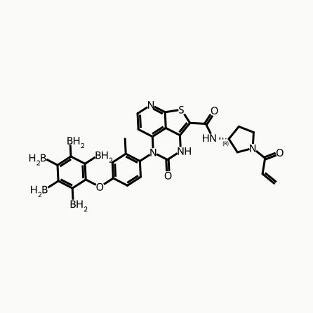 Bc1c(B)c(B)c(Oc2ccc(N3C(=O)Nc4c(C(=O)N[C@@H]5CCN(C(=O)C=C)C5)sc5nccc3c45)c(C)c2)c(B)c1B